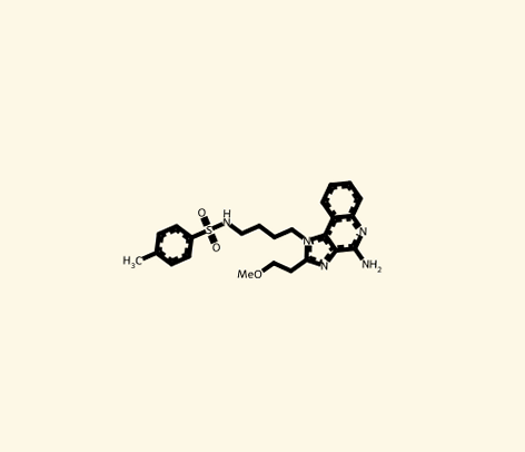 COCCc1nc2c(N)nc3ccccc3c2n1CCCCNS(=O)(=O)c1ccc(C)cc1